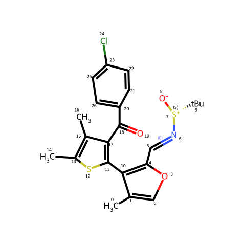 Cc1coc(/C=N/[S@+]([O-])C(C)(C)C)c1-c1sc(C)c(C)c1C(=O)c1ccc(Cl)cc1